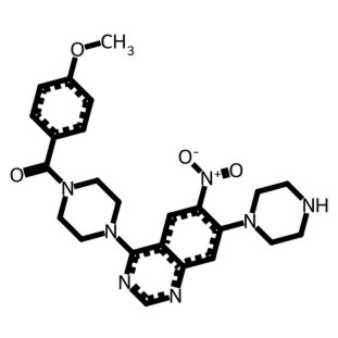 COc1ccc(C(=O)N2CCN(c3ncnc4cc(N5CCNCC5)c([N+](=O)[O-])cc34)CC2)cc1